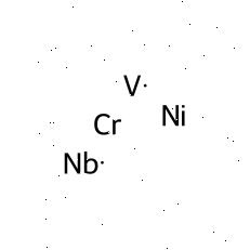 [Cr].[Nb].[Ni].[V]